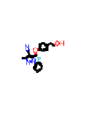 Cc1nn(-c2ccccc2F)c(COc2ccc(CCO)cc2)c1C#N